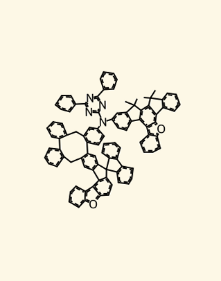 CC1(C)c2ccccc2-c2c1c1c(c3c2oc2ccccc23)-c2ccc(N(c3ccc4c(c3)Cc3ccccc3-c3ccccc3Cc3cc5c(cc3-4)C3(c4ccccc4-c4ccccc43)c3ccc4oc6ccccc6c4c3-5)c3nc(-c4ccccc4)nc(-c4ccccc4)n3)cc2C1(C)C